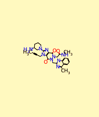 CC#CCn1c(N2CCCC(N)C2)nc2c(=O)n(CC(=O)NC)n(Cc3nc(C)c4ccccc4n3)c(=O)c21